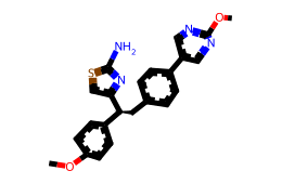 COc1ccc([C@H](Cc2ccc(-c3cnc(OC)nc3)cc2)c2csc(N)n2)cc1